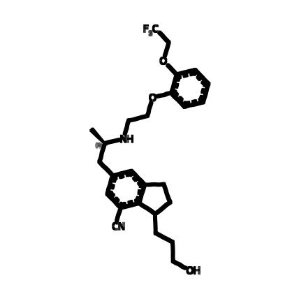 C[C@H](Cc1cc(C#N)c2c(c1)CCC2CCCO)NCCOc1ccccc1OCC(F)(F)F